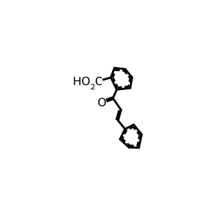 O=C(O)c1ccccc1C(=O)C=Cc1ccccc1